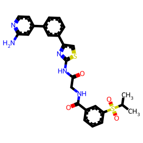 CC(C)S(=O)(=O)c1cccc(C(=O)NCC(=O)Nc2nc(-c3cccc(-c4ccnc(N)c4)c3)cs2)c1